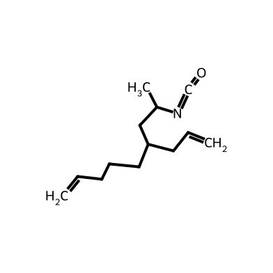 C=CCCCC(CC=C)CC(C)N=C=O